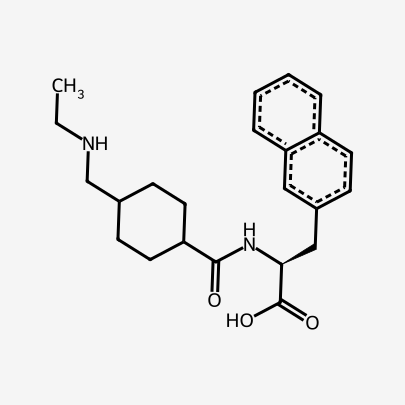 CCNCC1CCC(C(=O)N[C@@H](Cc2ccc3ccccc3c2)C(=O)O)CC1